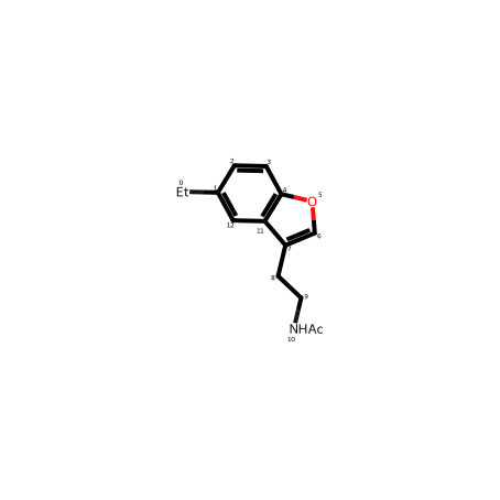 CCc1ccc2occ(CCNC(C)=O)c2c1